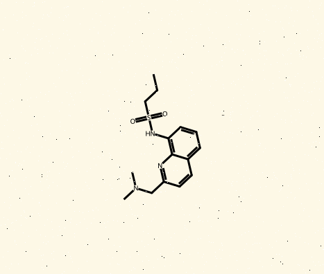 CCCS(=O)(=O)Nc1cccc2ccc(CN(C)C)nc12